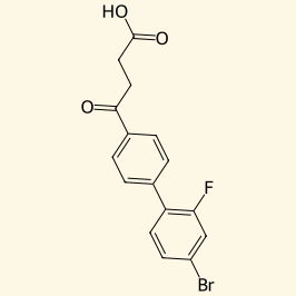 O=C(O)CCC(=O)c1ccc(-c2ccc(Br)cc2F)cc1